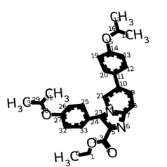 CCOC(=O)c1nc2ccc(-c3ccc(OC(C)C)cc3)cn2c1-c1ccc(OC(C)C)cc1